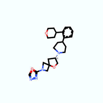 c1ccc(C2CCN([C@@H]3COC4(C3)CN(c3nnco3)C4)CC2)c(C2CCOCC2)c1